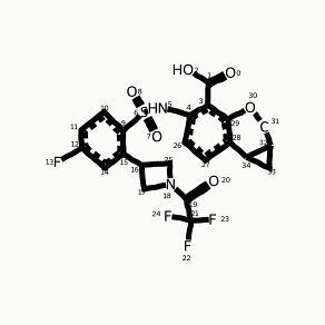 O=C(O)c1c(NS(=O)(=O)c2ccc(F)cc2C2CN(C(=O)C(F)(F)F)C2)ccc2c1OCC1CC21